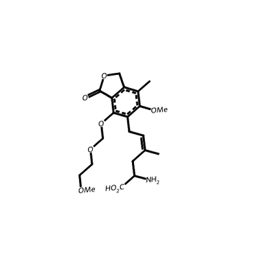 COCCOCOc1c(CC=C(C)CC(N)C(=O)O)c(OC)c(C)c2c1C(=O)OC2